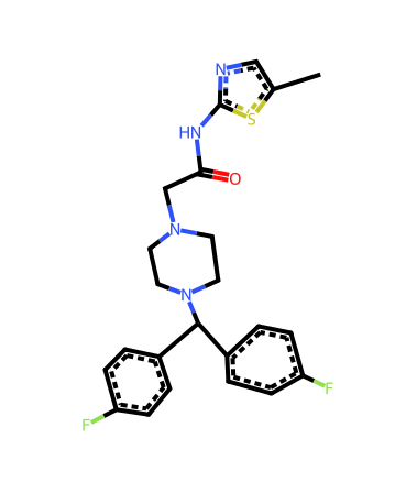 Cc1cnc(NC(=O)CN2CCN(C(c3ccc(F)cc3)c3ccc(F)cc3)CC2)s1